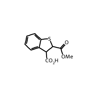 COC(=O)C1Sc2ccccc2C1C(=O)O